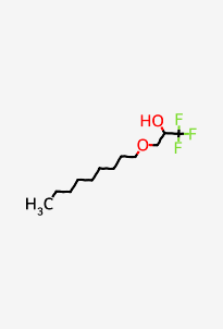 CCCCCCCCCOCC(O)C(F)(F)F